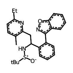 CCc1ccc(C)c(CC(N[S+]([O-])C(C)(C)C)c2ccccc2-c2noc3ccccc23)n1